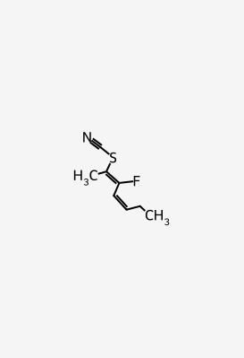 CC/C=C\C(F)=C(/C)SC#N